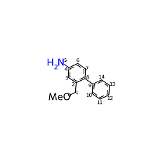 COCc1cc(N)ccc1-c1ccccc1